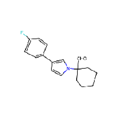 O=CC1(n2ccc(-c3ccc(F)cc3)c2)CCCCC1